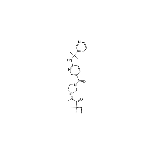 CN(C(=O)C1(C)CCC1)[C@H]1CCN(C(=O)c2ccc(NC(C)(C)c3cccnc3)nc2)C1